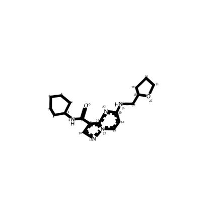 O=C(NC1CCCCC1)c1cnn2ccc(NCC3CCCO3)nc12